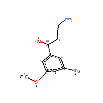 CC(C)(C)c1cc(OC(F)(F)F)cc([C@@H](O)CCN)c1